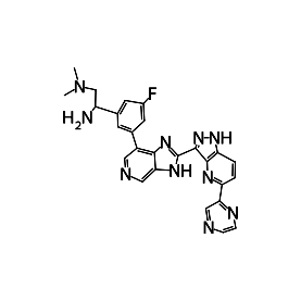 CN(C)CC(N)c1cc(F)cc(-c2cncc3[nH]c(-c4n[nH]c5ccc(-c6cnccn6)nc45)nc23)c1